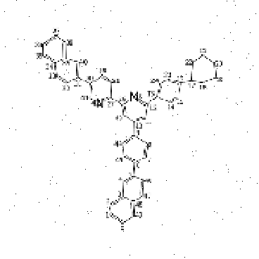 c1ccc2cc(-c3ccc(-c4cc(-c5ccc(C6CCCCC6)cc5)nc(-c5ccc(-c6ccc7ccccc7c6)cn5)c4)cc3)ccc2c1